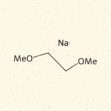 COCCOC.[Na]